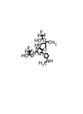 CCC1CNc2nc(N)nc(N3CC[C@@H](NC)C3)c2OC1.O=C(O)C(F)(F)F.O=C(O)C(F)(F)F